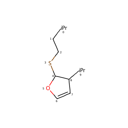 CC(C)CCSC1OC=CC1C(C)C